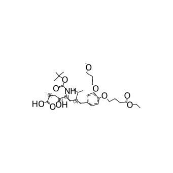 CCOC(=O)CCCOc1ccc(C[C@@H](C[C@H](NC(=O)OC(C)(C)C)[C@@H](O)C[C@@H](C)C(=O)O)C(C)C)cc1OCCCOC